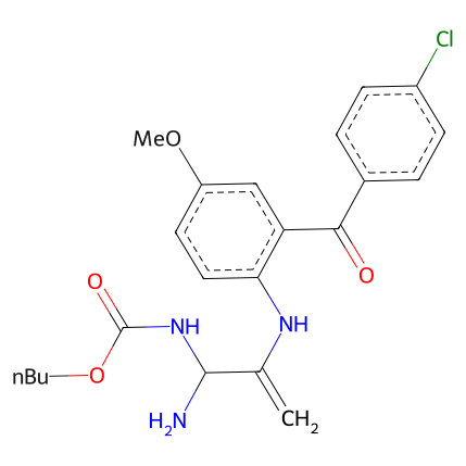 C=C(Nc1ccc(OC)cc1C(=O)c1ccc(Cl)cc1)C(N)NC(=O)OCCCC